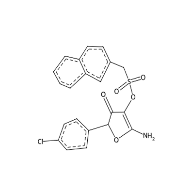 NC1=C(OS(=O)(=O)Cc2ccc3ccccc3c2)C(=O)C(c2ccc(Cl)cc2)O1